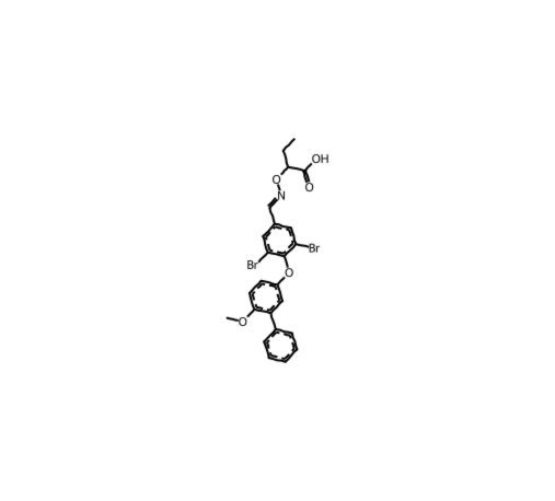 CCC(ON=Cc1cc(Br)c(Oc2ccc(OC)c(-c3ccccc3)c2)c(Br)c1)C(=O)O